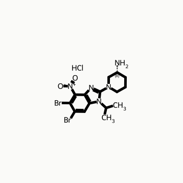 CC(C)n1c(N2CCC[C@@H](N)C2)nc2c([N+](=O)[O-])c(Br)c(Br)cc21.Cl